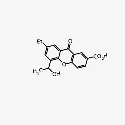 CCc1cc(C(C)O)c2oc3ccc(C(=O)O)cc3c(=O)c2c1